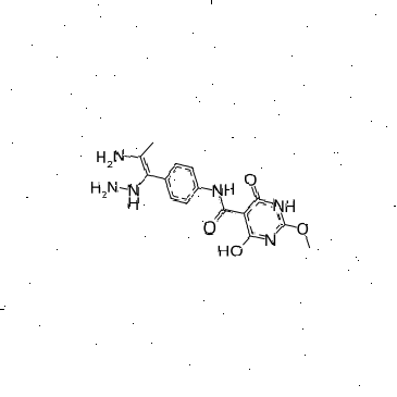 COc1nc(O)c(C(=O)Nc2ccc(/C(NN)=C(\C)N)cc2)c(=O)[nH]1